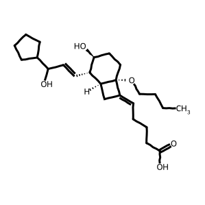 CCCCO[C@@]12CC[C@H](O)[C@@H](/C=C/C(O)C3CCCC3)[C@@H]1CC2=CCCCC(=O)O